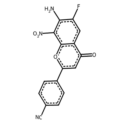 N#Cc1ccc(-c2cc(=O)c3cc(F)c(N)c([N+](=O)[O-])c3o2)cc1